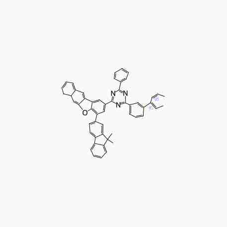 C/C=C\C(=C/C)c1cccc(-c2nc(-c3ccccc3)nc(-c3cc(-c4ccc5c(c4)C(C)(C)c4ccccc4-5)c4oc5c(c4c3)=CC3=CC=CCC3C=5)n2)c1